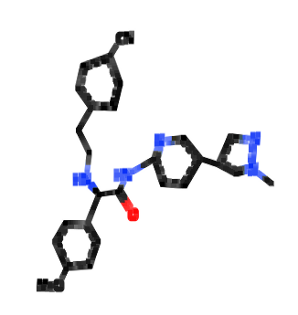 COc1ccc([C@@H](NCCc2ccc(C#N)cc2)C(=O)Nc2ccc(-c3cnn(C)c3)cn2)cc1